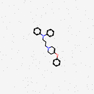 C1=C(Oc2ccccc2)CCN(CCCN(c2ccccc2)c2ccccc2)C1